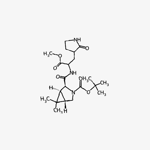 COC(=O)C(CC1CCNC1=O)NC(=O)[C@@H]1[C@H]2[C@H](CN1C(=O)OC(C)(C)C)C2(C)C